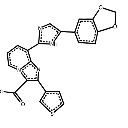 O=C(O)c1c(-c2ccsc2)nc2c(-c3ncc(-c4ccc5c(c4)OCO5)[nH]3)cccn12